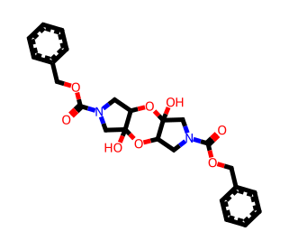 O=C(OCc1ccccc1)N1CC2OC3(O)CN(C(=O)OCc4ccccc4)CC3OC2(O)C1